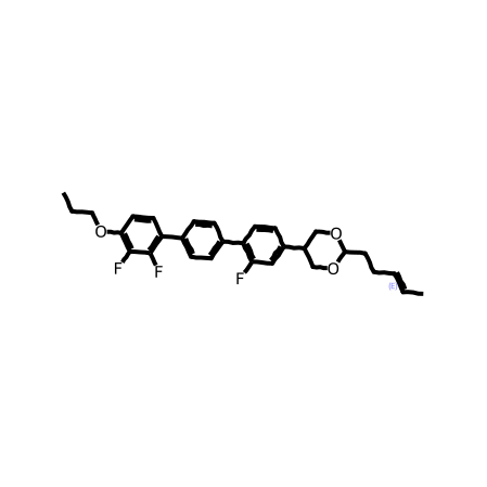 C/C=C/CCC1OCC(c2ccc(-c3ccc(-c4ccc(OCCC)c(F)c4F)cc3)c(F)c2)CO1